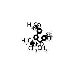 Cc1nc(-c2cc(-c3cccc(S(C)(=O)=O)c3)ccc2-n2nc(C(F)(F)F)cc2C)c(-c2ccc3c(c2)OC(F)(F)O3)o1